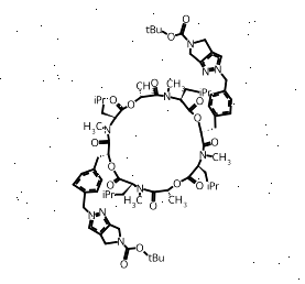 CC(C)C[C@H]1C(=O)O[C@H](Cc2ccc(Cn3cc4c(n3)CN(C(=O)OC(C)(C)C)C4)cc2)C(=O)N(C)[C@@H](CC(C)C)C(=O)O[C@H](C)C(=O)N(C)[C@@H](CC(C)C)C(=O)O[C@H](Cc2ccc(Cn3cc4c(n3)CN(C(=O)OC(C)(C)C)C4)cc2)C(=O)N(C)[C@@H](CC(C)C)C(=O)O[C@H](C)C(=O)N1C